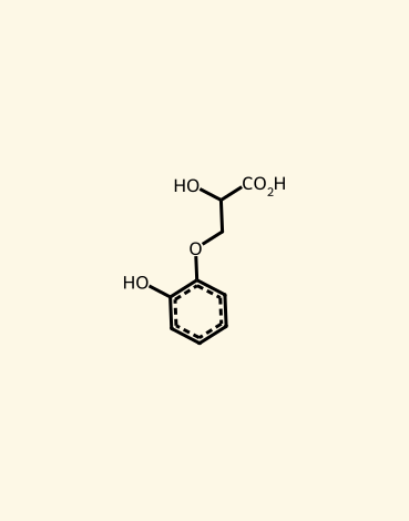 O=C(O)C(O)COc1ccccc1O